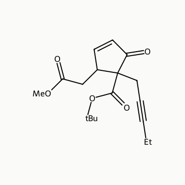 CCC#CCC1(C(=O)OC(C)(C)C)C(=O)C=CC1CC(=O)OC